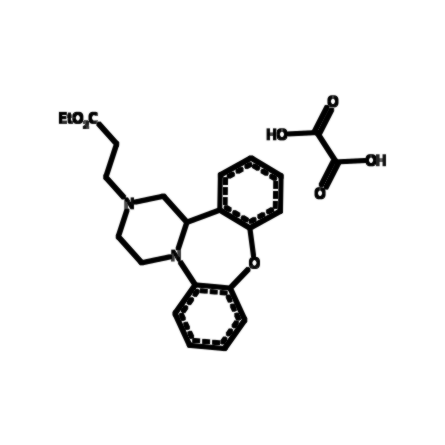 CCOC(=O)CCN1CCN2c3ccccc3Oc3ccccc3C2C1.O=C(O)C(=O)O